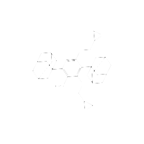 CCCCCCc1c(C23CC4CC(CC(C4)C2)C3)cc(OCC2CO2)c(C23CC4CC(CC(C4)C2)C3)c1OCC1CO1